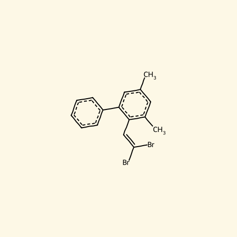 Cc1cc(C)c(C=C(Br)Br)c(-c2ccccc2)c1